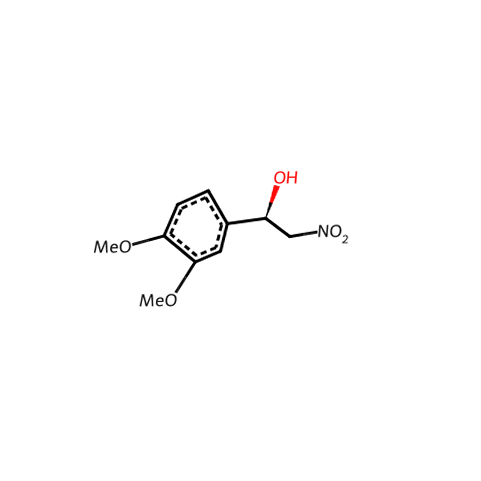 COc1ccc([C@@H](O)C[N+](=O)[O-])cc1OC